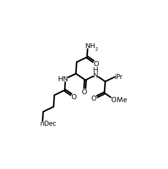 CCCCCCCCCCCCCC(=O)NC(CC(N)=O)C(=O)NC(C(=O)OC)C(C)C